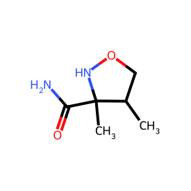 CC1CONC1(C)C(N)=O